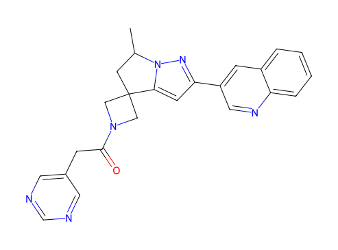 CC1CC2(CN(C(=O)Cc3cncnc3)C2)c2cc(-c3cnc4ccccc4c3)nn21